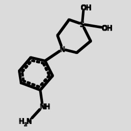 NNc1cccc(N2CCS(O)(O)CC2)c1